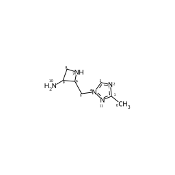 Cc1ncn(CC2NCC2N)n1